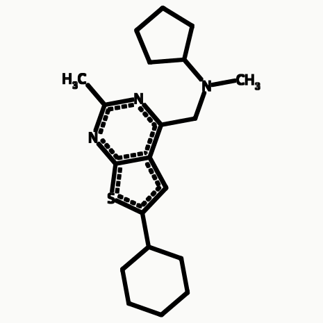 Cc1nc(CN(C)C2CCCC2)c2cc(C3CCCCC3)sc2n1